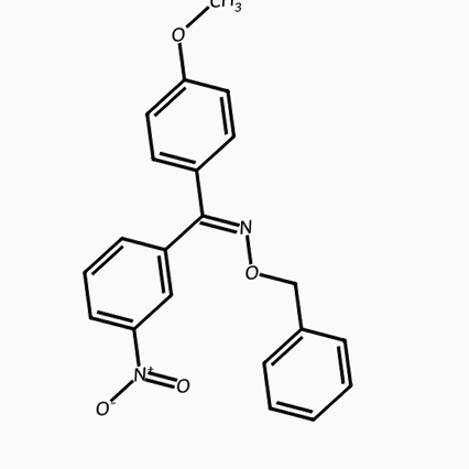 COc1ccc(C(=NOCc2ccccc2)c2cccc([N+](=O)[O-])c2)cc1